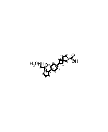 CNCC(=O)N1CCCC1C1CCN(C2CC3(CCN(C(=O)O)C3)C2)CC1